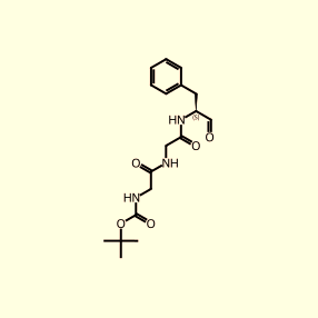 CC(C)(C)OC(=O)NCC(=O)NCC(=O)N[C@H](C=O)Cc1ccccc1